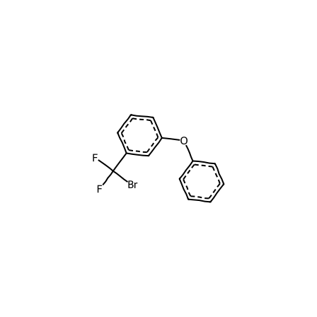 FC(F)(Br)c1cccc(Oc2ccccc2)c1